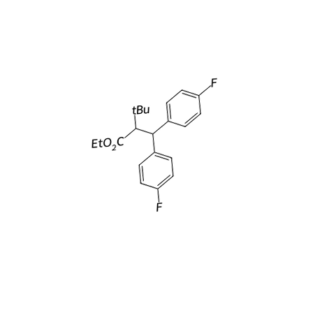 CCOC(=O)C(C(c1ccc(F)cc1)c1ccc(F)cc1)C(C)(C)C